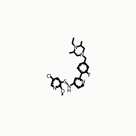 CCN1C(C)CN(Cc2ccc(-c3cc(NSc4cc(Cl)cnc4OC)ccn3)c(F)c2)CC1C